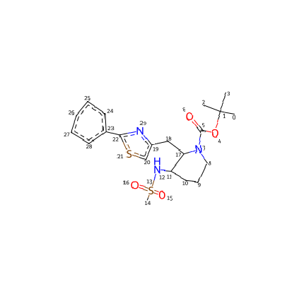 CC(C)(C)OC(=O)N1CCCC(NS(C)(=O)=O)C1Cc1csc(-c2ccccc2)n1